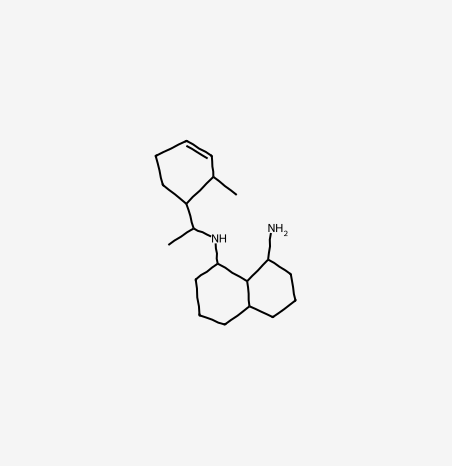 CC1C=CCCC1C(C)NC1CCCC2CCCC(N)C21